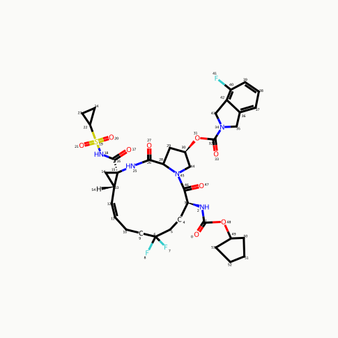 O=C(N[C@H]1CCC(F)(F)CC/C=C\[C@@H]2C[C@@]2(C(=O)NS(=O)(=O)C2CC2)NC(=O)C2C[C@@H](OC(=O)N3Cc4cccc(F)c4C3)CN2C1=O)OC1CCCC1